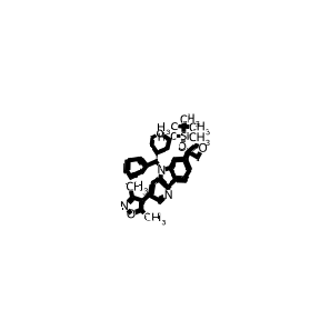 Cc1noc(C)c1-c1cnc2c3ccc(C4(O[Si](C)(C)C(C)(C)C)COC4)cc3n([C@H](c3ccccc3)C3CCOCC3)c2c1